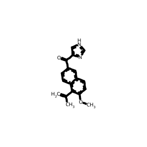 C=C(C)c1c(OC)ccc2cc(C(=O)c3c[nH]cn3)ccc12